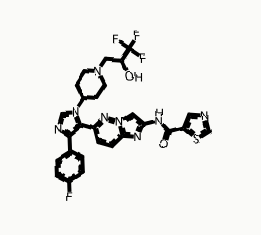 O=C(Nc1cn2nc(-c3c(-c4ccc(F)cc4)ncn3C3CCN(CC(O)C(F)(F)F)CC3)ccc2n1)c1cncs1